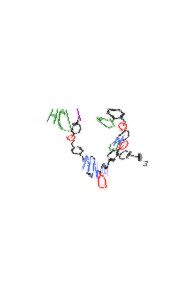 Cc1cc(/C=C/C(=O)N2CCN(Cc3ccc(CCOc4ccc(I)cc4)cc3)CC2)cc(Cl)c1Oc1ccc(OCc2ccccc2Cl)cn1.Cl